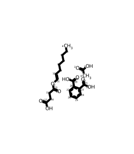 CC(=O)O.CCCCCCC=COC(=O)CCC(=O)O.O=C(O)c1ccccc1C(=O)O